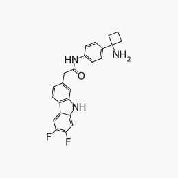 NC1(c2ccc(NC(=O)Cc3ccc4c(c3)[nH]c3cc(F)c(F)cc34)cc2)CCC1